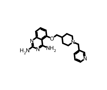 Nc1nc(N)c2c(OCC3CCN(Cc4cccnc4)CC3)cccc2n1